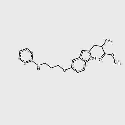 COC(=O)C(C)Cc1cc2cc(OCCCNc3ccccn3)ccc2[nH]1